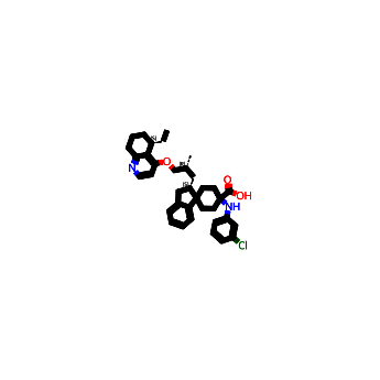 CC[C@H]1CCCc2nccc(OC[C@H](C)C[C@H]3Cc4ccccc4C34CCC(Nc3cccc(Cl)c3)(C(=O)O)CC4)c21